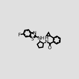 O=C(N[C@H]1CCC[C@H]1Nc1nc2ccc(F)cc2s1)c1ccccc1C1CC1